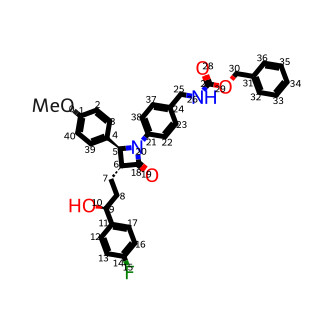 COc1ccc([C@@H]2[C@@H](CC[C@H](O)c3ccc(F)cc3)C(=O)N2c2ccc(CNC(=O)OCc3ccccc3)cc2)cc1